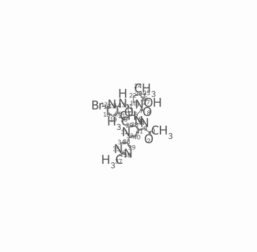 CC(=O)c1nn(CC(=O)N2[C@H](C(=O)Nc3nc(Br)ccc3C)C[C@@]3(C)C[C@@]23O)c2c(C)nc(-c3cnc(C)nc3)cc12